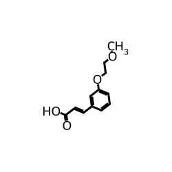 COCCOc1cccc(C=CC(=O)O)c1